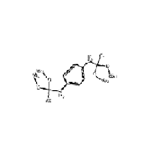 CCC(OC(C)(C)C)(OC(C)(C)C)[SiH2]c1ccc([SiH2]C(CC)(OC(C)(C)C)OC(C)(C)C)cc1